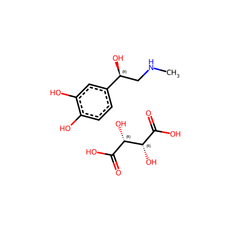 CNC[C@H](O)c1ccc(O)c(O)c1.O=C(O)[C@H](O)[C@@H](O)C(=O)O